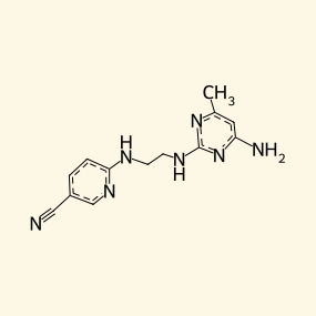 Cc1cc(N)nc(NCCNc2ccc(C#N)cn2)n1